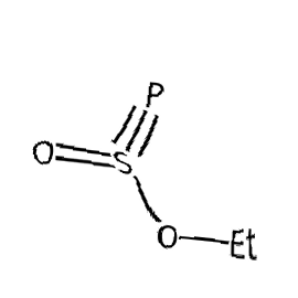 CCOS(=O)#P